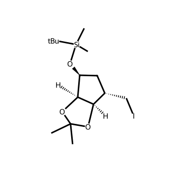 CC1(C)O[C@@H]2[C@@H](CI)C[C@H](O[Si](C)(C)C(C)(C)C)[C@@H]2O1